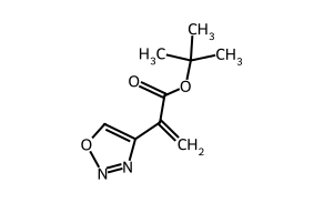 C=C(C(=O)OC(C)(C)C)c1conn1